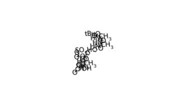 C[C@H](NC(=O)OC(C)(C)C)C(=O)N[C@@H](C)C(=O)Nc1cccc(Cc2ccc([C@H]3OC[C@@]4(C)C[C@H](O)[C@H]5[C@@H](CCC6=CC(=O)C=C[C@@]65C)[C@@H]4CC(C(=O)COS(=O)(=O)O)O3)cc2)c1